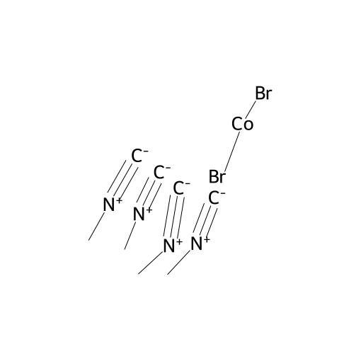 [Br][Co][Br].[C-]#[N+]C.[C-]#[N+]C.[C-]#[N+]C.[C-]#[N+]C